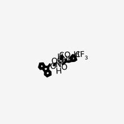 O=C(NNC(=O)C(Cc1ccc(C(F)(F)F)cc1)NC(=O)C(=O)O)OCC1c2ccccc2-c2ccccc21